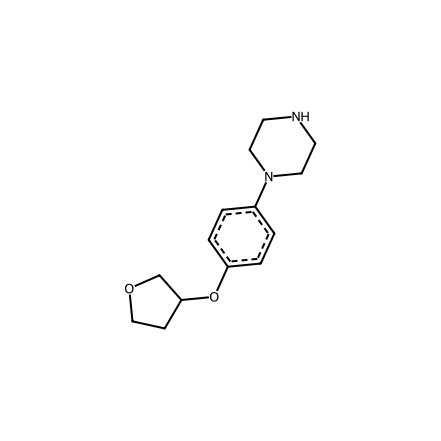 c1cc(N2CCNCC2)ccc1OC1CCOC1